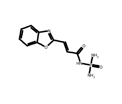 NP(N)(=O)NC(=O)/C=C/c1nc2ccccc2o1